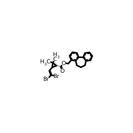 CC1(C)C(C=C(Br)Br)[C@H]1C(=O)OCc1cccc2c1CCCc1ccccc1-2